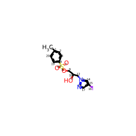 Cc1ccc(S(=O)(=O)OCC(O)Cn2cc(I)cn2)cc1